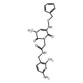 Cc1nc(N)ccc1CNC(=O)Cn1c(=O)c(NSCc2ccccc2)cn(C)c1=O